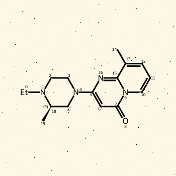 CCN1CCN(c2cc(=O)n3cccc(C)c3n2)C[C@H]1C